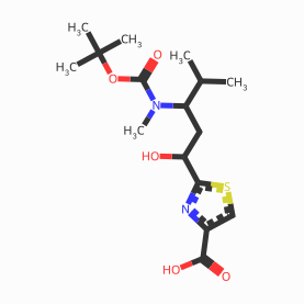 CC(C)C(CC(O)c1nc(C(=O)O)cs1)N(C)C(=O)OC(C)(C)C